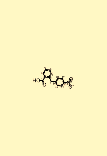 O=C(O)c1cccnc1Cc1ccc([N+](=O)[O-])cc1